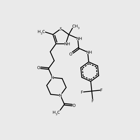 CC(=O)N1CCN(C(=O)CCC2=C(C)SC(C)(NC(=O)Nc3ccc(C(F)(F)F)cc3)N2)CC1